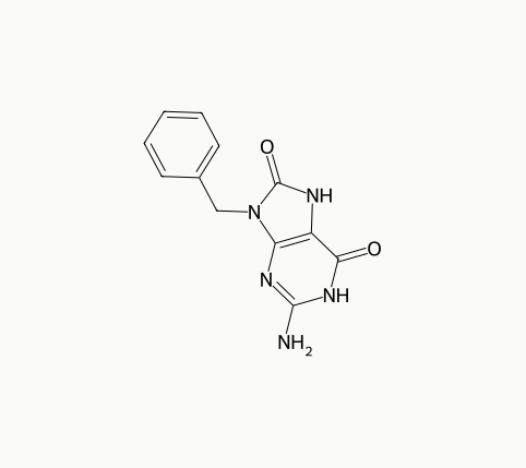 Nc1nc2c([nH]c(=O)n2Cc2ccccc2)c(=O)[nH]1